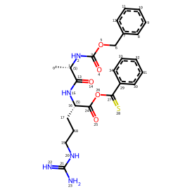 C[C@H](NC(=O)OCc1ccccc1)C(=O)N[C@@H](CCCNC(=N)N)C(=O)OC(=S)c1ccccc1